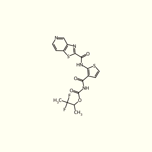 CC(OC(=O)NC(=O)c1ccsc1NC(=O)c1nc2cnccc2s1)C(C)(F)F